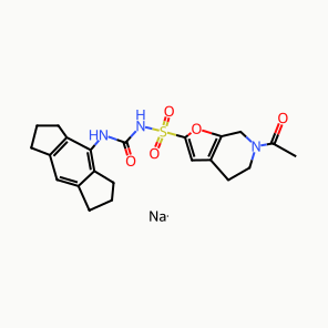 CC(=O)N1CCc2cc(S(=O)(=O)NC(=O)Nc3c4c(cc5c3CCC5)CCC4)oc2C1.[Na]